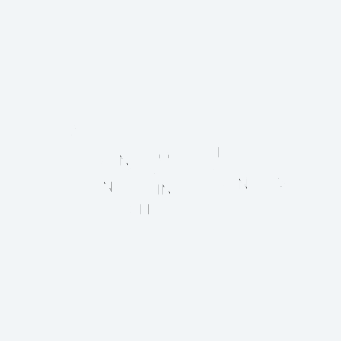 Cc1ccn2c(C(=O)Nc3ccc(N4CCSCC4)c(F)c3)c(C)nc2c1